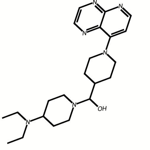 CCN(CC)C1CCN(C(O)C2CCN(c3ccnc4nccnc34)CC2)CC1